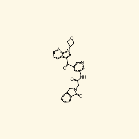 O=C(CN1Cc2ccccc2C1=O)Nc1cncc(C(=O)c2cn(C3COC3)c3ncncc23)c1